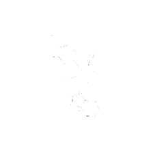 N=C(N)/C(C(=O)On1nnc2ccccc21)=C1/N=CC(F)=CN1